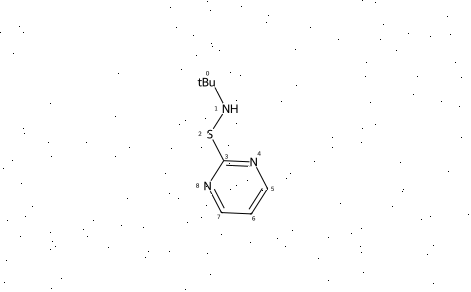 CC(C)(C)NSc1ncccn1